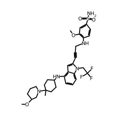 COc1cc(S(N)(=O)=O)ccc1NCC#Cc1cc2c(NC3CCC(C)(N4CCCC(OC)C4)CC3)cccc2n1CC(F)(F)F